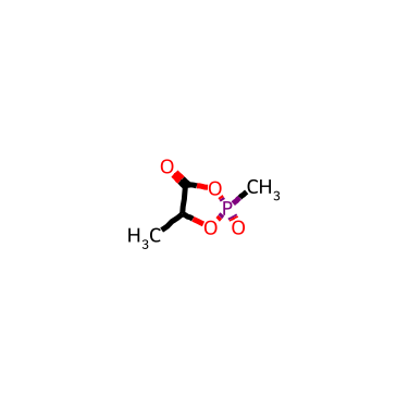 CC1OP(C)(=O)OC1=O